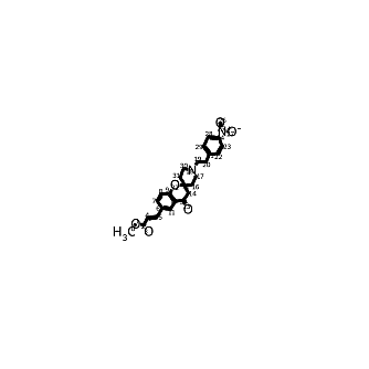 COC(=O)/C=C/c1ccc2c(c1)C(=O)CC1(CCN(CCc3ccc([N+](=O)[O-])cc3)CC1)O2